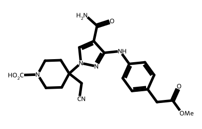 COC(=O)Cc1ccc(Nc2nn(C3(CC#N)CCN(C(=O)O)CC3)cc2C(N)=O)cc1